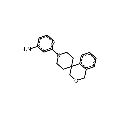 Nc1ccnc(N2CCC3(CC2)COCc2ccccc23)c1